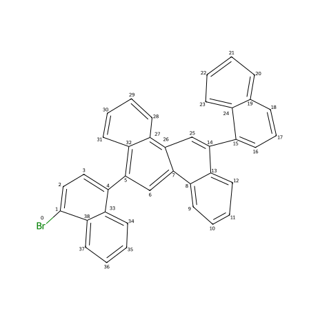 Brc1ccc(-c2cc3c4ccccc4c(-c4cccc5ccccc45)cc3c3ccccc23)c2ccccc12